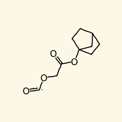 O=[C]OCC(=O)OC12CCC(CC1)C2